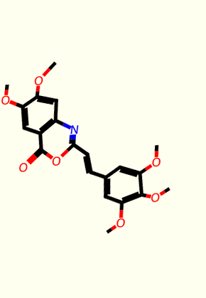 COc1cc2nc(/C=C/c3cc(OC)c(OC)c(OC)c3)oc(=O)c2cc1OC